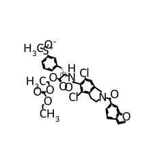 CCOC(=O)OC(C)OC(=O)[C@H](Cc1cccc([S+](C)[O-])c1)NC(=O)c1c(Cl)cc2c(c1Cl)CCN(C(=O)c1ccc3ccoc3c1)C2